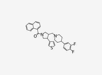 O=C(c1cccc2ccccc12)N1CC(CN2CCC(c3ccc(F)c(F)c3)CC2)C(c2ccsc2)C1